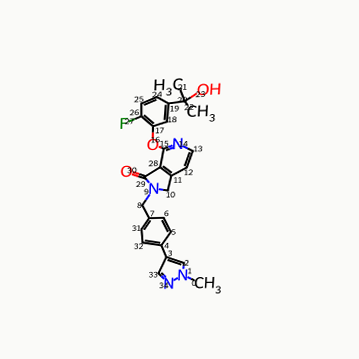 Cn1cc(-c2ccc(CN3Cc4ccnc(Oc5cc(C(C)(C)O)ccc5F)c4C3=O)cc2)cn1